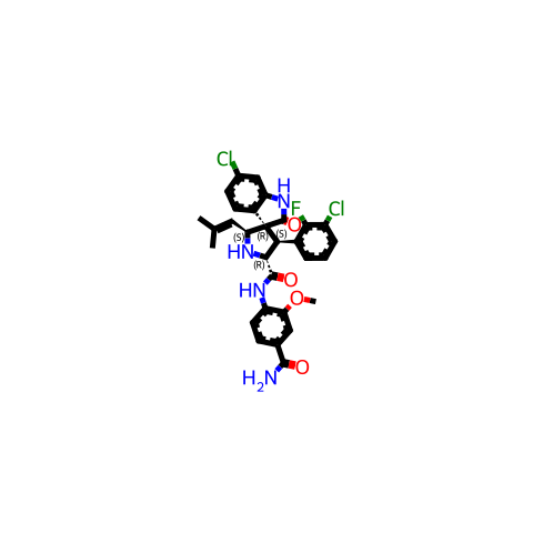 COc1cc(C(N)=O)ccc1NC(=O)[C@@H]1N[C@@H](C=C(C)C)[C@@]2(C(=O)Nc3cc(Cl)ccc32)[C@H]1c1cccc(Cl)c1F